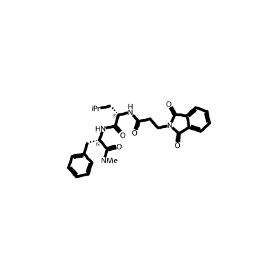 CNC(=O)[C@H](Cc1ccccc1)NC(=O)[C@H](CC(C)C)NC(=O)CCN1C(=O)c2ccccc2C1=O